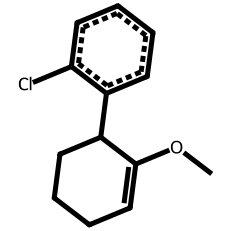 COC1=CCCCC1c1ccccc1Cl